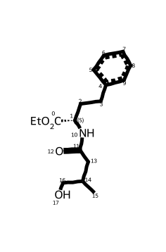 CCOC(=O)[C@H](CCc1ccccc1)NC(=O)CC(C)CO